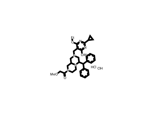 CCOc1nc(C2CC2)nc(OC)c1CN1CC2CN(C(=O)COC)CCN2C(C(c2ccccc2)c2ccccc2)C1.Cl.Cl